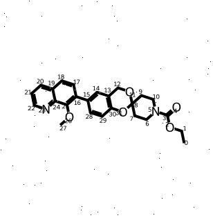 CCOC(=O)N1CCC2(CC1)OCc1cc(-c3ccc4cccnc4c3OC)ccc1O2